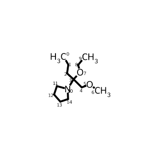 CCCC(COC)(OCC)N1CCCC1